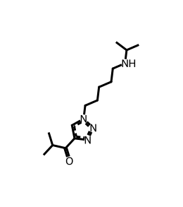 CC(C)NCCCCCn1cc(C(=O)C(C)C)nn1